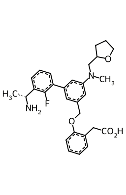 C[C@@H](N)c1cccc(-c2cc(COc3ccccc3CC(=O)O)cc(N(C)CC3CCCO3)c2)c1F